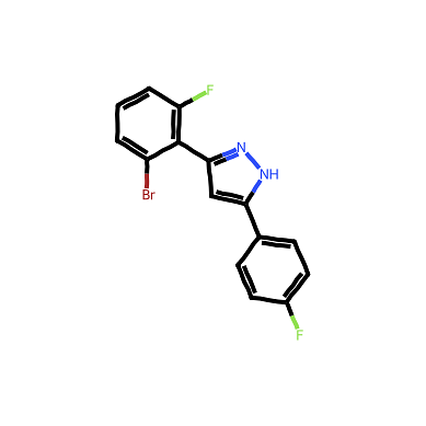 Fc1ccc(-c2cc(-c3c(F)cccc3Br)n[nH]2)cc1